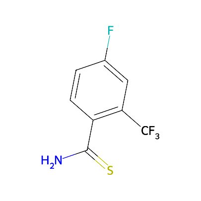 NC(=S)c1ccc(F)cc1C(F)(F)F